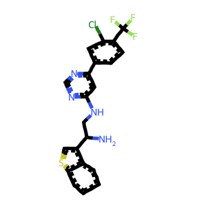 NC(CNc1cc(-c2ccc(C(F)(F)F)c(Cl)c2)ncn1)c1csc2ccccc12